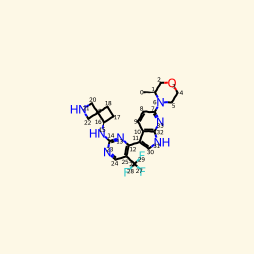 C[C@H]1COCCN1c1ccc2c(-c3nc(N[C@@H]4CCC45CNC5)ncc3C(F)(F)F)c[nH]c2n1